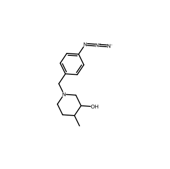 CC1CCN(Cc2ccc(N=[N+]=[N-])cc2)CC1O